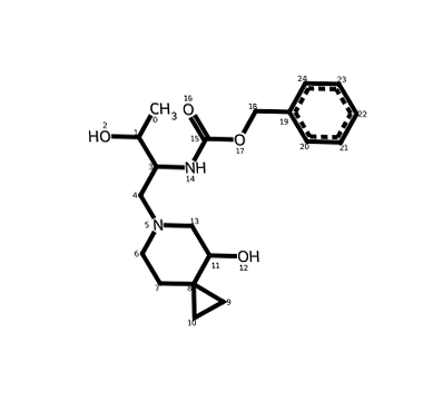 CC(O)C(CN1CCC2(CC2)C(O)C1)NC(=O)OCc1ccccc1